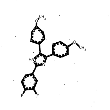 COc1ccc(-c2nc(-c3ccc(F)c(F)c3)[nH]c2-c2ccc(OC)cc2)cc1